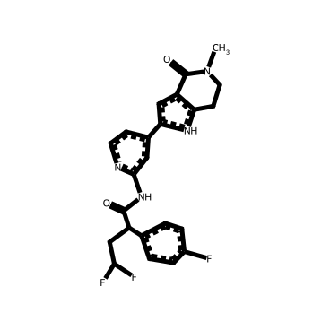 CN1CCc2[nH]c(-c3ccnc(NC(=O)C(CC(F)F)c4ccc(F)cc4)c3)cc2C1=O